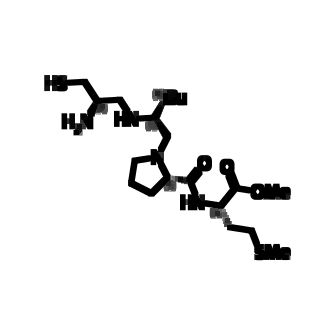 CC[C@H](C)[C@@H](CN1CCC[C@H]1C(=O)N[C@@H](CCSC)C(=O)OC)NC[C@@H](N)CS